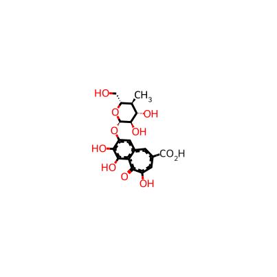 C[C@H]1[C@H](O)[C@@H](O)[C@H](Oc2cc3cc(C(=O)O)cc(O)c(=O)c3c(O)c2O)O[C@@H]1CO